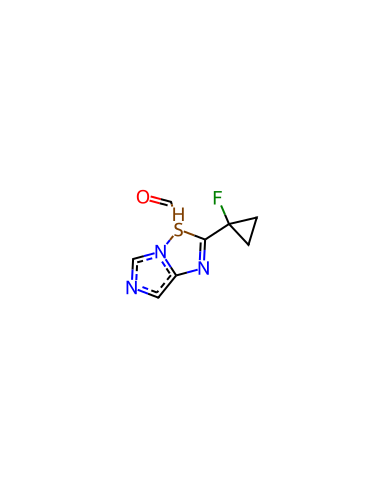 O=C[SH]1C(C2(F)CC2)=Nc2cncn21